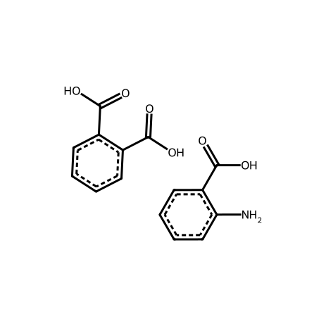 Nc1ccccc1C(=O)O.O=C(O)c1ccccc1C(=O)O